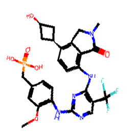 COc1cc(CP(=O)(O)O)ccc1Nc1ncc(C(F)(F)F)c(Nc2ccc([C@H]3C[C@@H](O)C3)c3c2C(=O)N(C)C3)n1